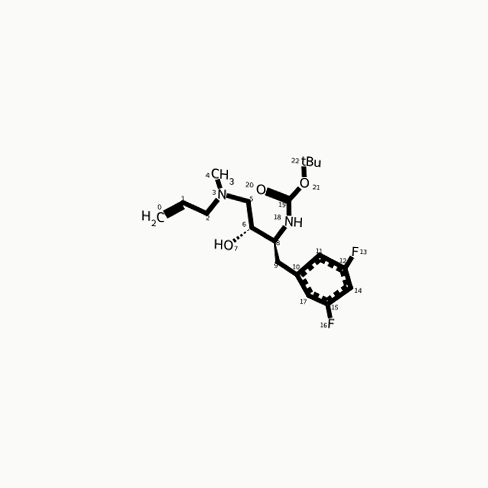 C=CCN(C)C[C@@H](O)[C@H](Cc1cc(F)cc(F)c1)NC(=O)OC(C)(C)C